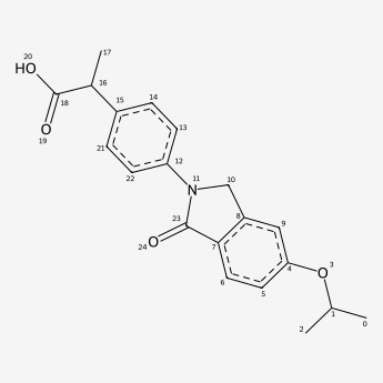 CC(C)Oc1ccc2c(c1)CN(c1ccc(C(C)C(=O)O)cc1)C2=O